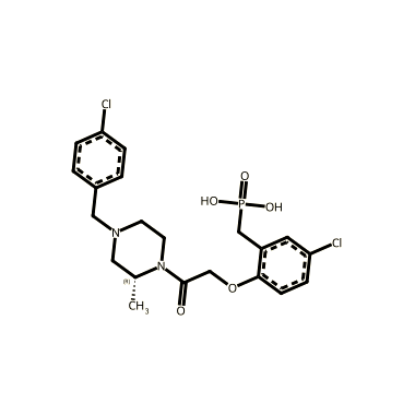 C[C@@H]1CN(Cc2ccc(Cl)cc2)CCN1C(=O)COc1ccc(Cl)cc1CP(=O)(O)O